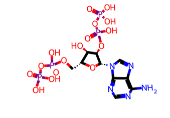 Nc1ncnc2c1ncn2[C@@H]1O[C@H](COP(=O)(O)OP(=O)(O)O)[C@@H](O)[C@H]1OP(=O)(O)OP(=O)(O)O